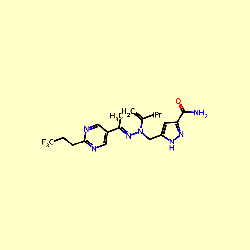 C=C(C(C)C)N(Cc1cc(C(N)=O)n[nH]1)/N=C(\C)c1cnc(CCC(F)(F)F)nc1